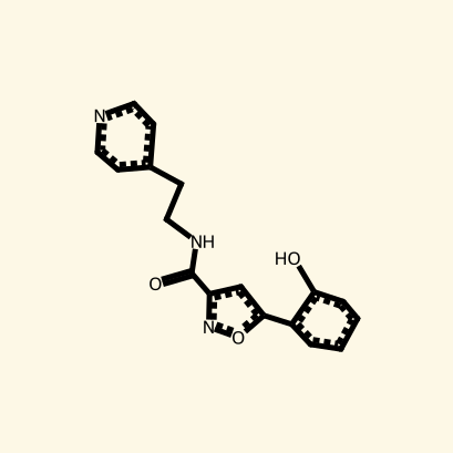 O=C(NCCc1ccncc1)c1cc(-c2ccccc2O)on1